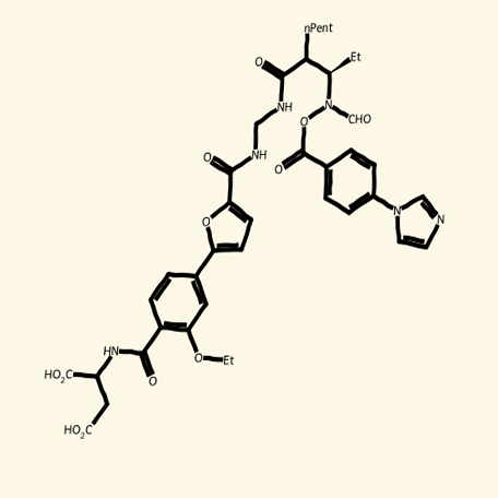 CCCCCC(C(=O)NCNC(=O)c1ccc(-c2ccc(C(=O)NC(CC(=O)O)C(=O)O)c(OCC)c2)o1)[C@@H](CC)N(C=O)OC(=O)c1ccc(-n2ccnc2)cc1